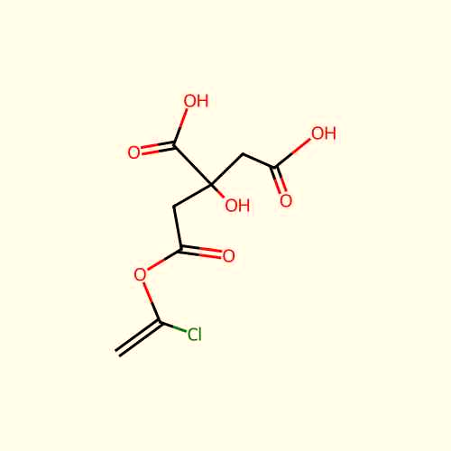 C=C(Cl)OC(=O)CC(O)(CC(=O)O)C(=O)O